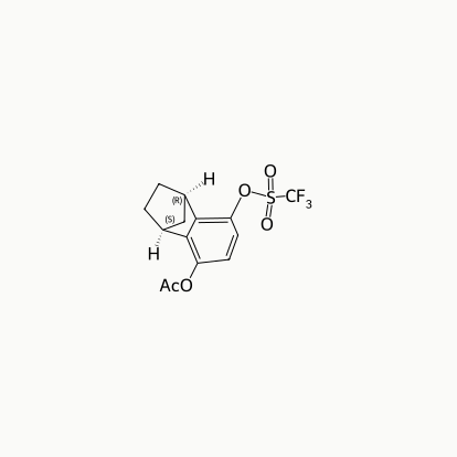 CC(=O)Oc1ccc(OS(=O)(=O)C(F)(F)F)c2c1[C@H]1CC[C@@H]2C1